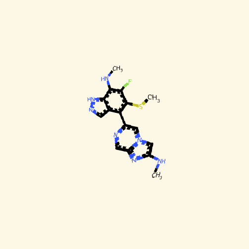 CNc1cn2cc(-c3c(SC)c(F)c(NC)c4[nH]ncc34)ncc2n1